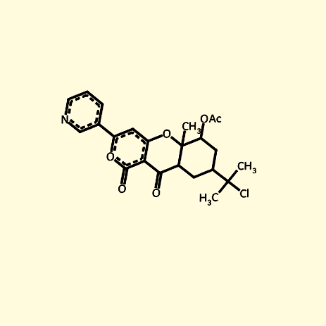 CC(=O)OC1CC(C(C)(C)Cl)CC2C(=O)c3c(cc(-c4cccnc4)oc3=O)OC12C